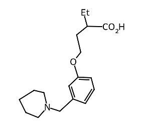 CCC(CCOc1cccc(CN2CCCCC2)c1)C(=O)O